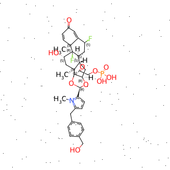 Cn1c(Cc2ccc(CO)cc2)ccc1[C@@H]1O[C@@H]2C[C@H]3[C@@H]4C[C@H](F)C5=CC(=O)C=C[C@]5(C)[C@@]4(F)[C@@H](O)C[C@]3(C)[C@]2(C(=O)COP(=O)(O)O)O1